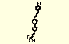 CCc1ccc(CCCC[C@H]2CC[C@H]([C@H]3CC[C@H](CCC=C(F)C#N)CC3)CC2)cc1